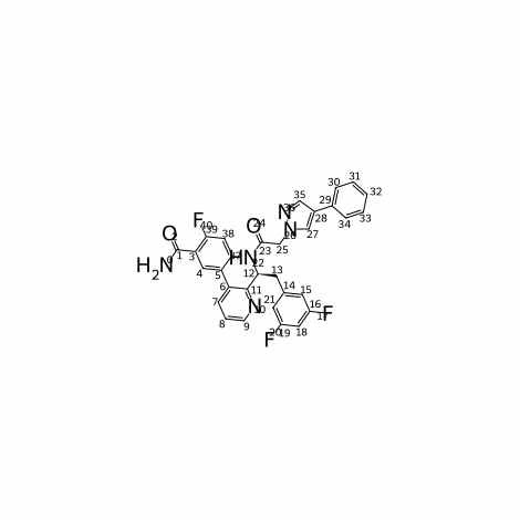 NC(=O)c1cc(-c2cccnc2[C@H](Cc2cc(F)cc(F)c2)NC(=O)Cn2cc(-c3ccccc3)cn2)ccc1F